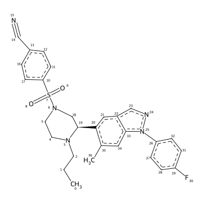 CCCN1CCN(S(=O)(=O)c2ccc(C#N)cc2)C[C@H]1c1cc2cnn(-c3ccc(F)cc3)c2cc1C